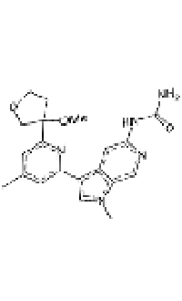 COC1(c2cc(C)cc(-c3cn(C)c4cnc(NC(N)=O)cc34)n2)CCOC1